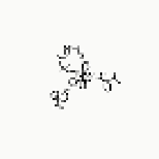 C=C(C)C(=O)OCCOC(=O)N(CCC(C)(C)CC(C)CN)C(=O)OCCOC(=O)C(=C)C